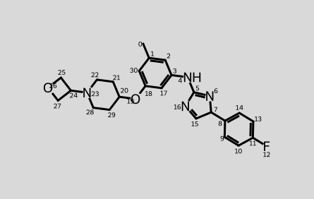 Cc1cc(NC2=NC(c3ccc(F)cc3)C=N2)cc(OC2CCN(C3COC3)CC2)c1